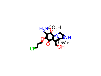 COC12C(CO)C3=C(C(=O)C(C)=C(OCCCCl)C3=O)N1CC1NC12.NC(=O)O